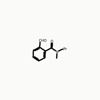 CC(C)N(C)C(=O)c1ccccc1C=O